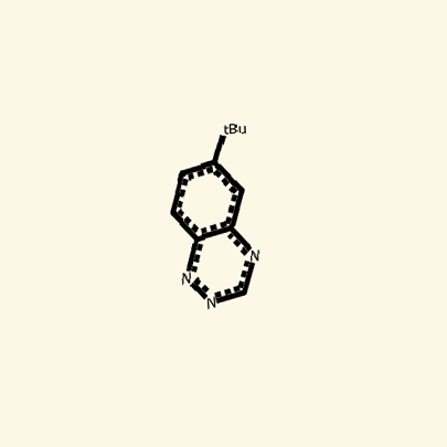 CC(C)(C)c1ccc2nncnc2c1